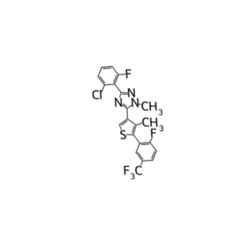 Cc1c(-c2nc(-c3c(F)cccc3Cl)nn2C)csc1-c1cc(C(F)(F)F)ccc1F